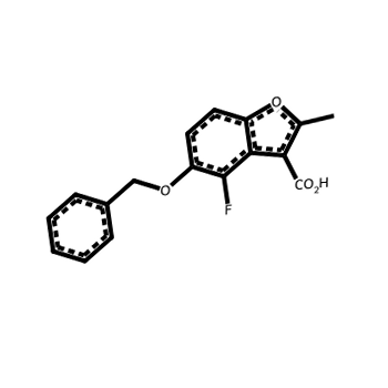 Cc1oc2ccc(OCc3ccccc3)c(F)c2c1C(=O)O